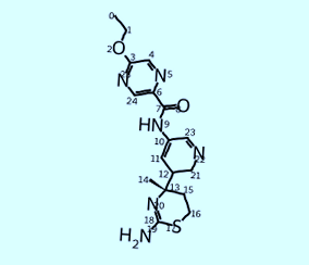 CCOc1cnc(C(=O)NC2=CC([C@]3(C)CCSC(N)=N3)CN=C2)cn1